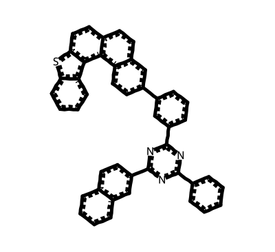 c1ccc(-c2nc(-c3cccc(-c4ccc5c(ccc6ccc7sc8ccccc8c7c65)c4)c3)nc(-c3ccc4ccccc4c3)n2)cc1